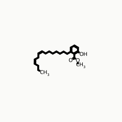 CCC/C=C\C/C=C\CCCCCCCc1cccc(O)c1C(=O)OC